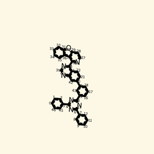 c1ccc(-c2nc(-c3ccccc3)nc(-c3cccc(-c4ccc5c(-c6nccc7oc8ccccc8c67)ncnc5c4)c3)n2)cc1